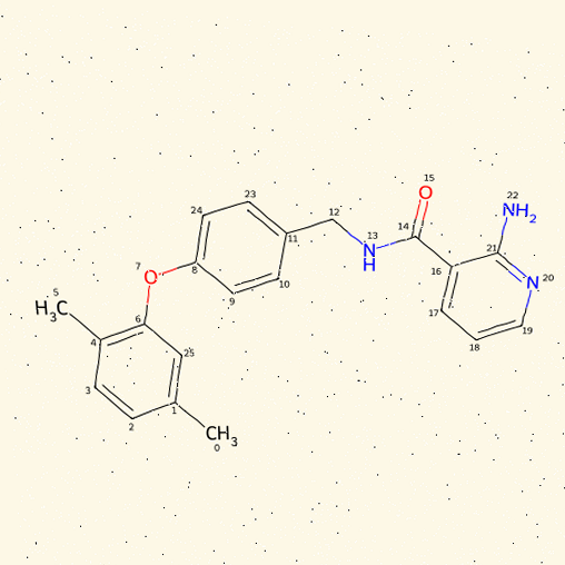 Cc1ccc(C)c(Oc2ccc(CNC(=O)c3cccnc3N)cc2)c1